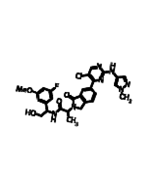 COc1cc(F)cc(C(CO)NC(=O)C(C)N2Cc3ccc(-c4nc(Nc5cnn(C)c5)ncc4Cl)cc3C2=O)c1